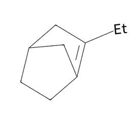 [CH2]CC1=C2CCC(C1)C2